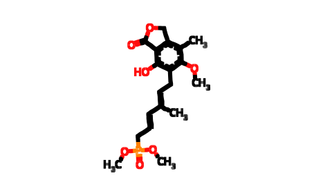 COc1c(C)c2c(c(O)c1C/C=C(C)/C=C/CP(=O)(OC)OC)C(=O)OC2